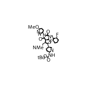 CNCc1c(-c2ccc(NC(=O)OC(C)(C)C)nc2)sc2c1c(=O)n(-c1ccc(OC)nn1)c(=O)n2Cc1c(F)cccc1F